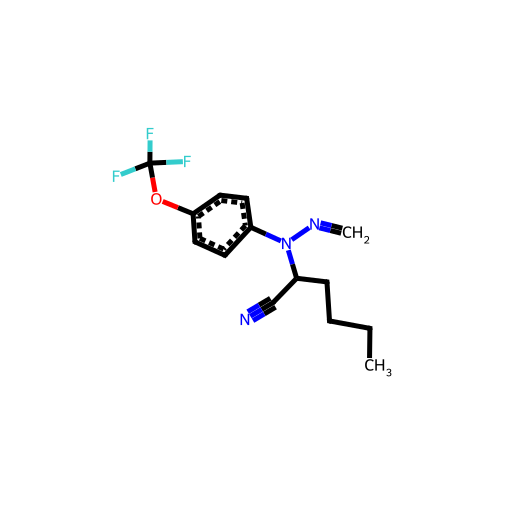 C=NN(c1ccc(OC(F)(F)F)cc1)C(C#N)CCCC